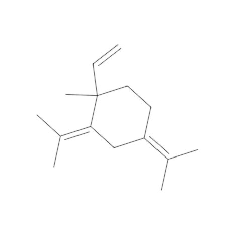 C=CC1(C)CCC(=C(C)C)CC1=C(C)C